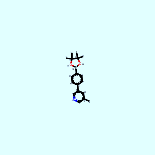 Cc1cncc(-c2ccc(B3OC(C)(C)C(C)(C)O3)cc2)c1